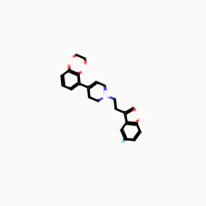 Fc1ccc2occ(CCN3CC=C(c4cccc5c4OCCO5)CC3)c2c1